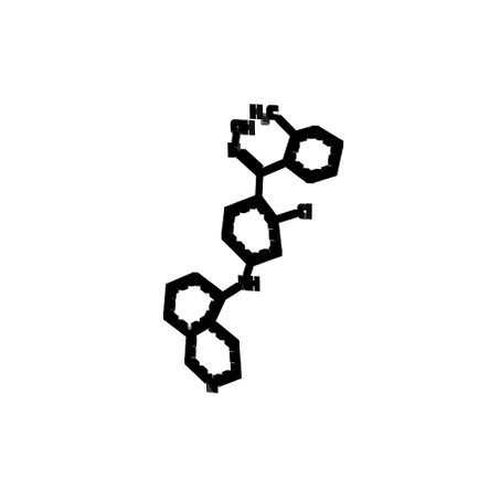 Cc1ccccc1C(=NO)c1ccc(Nc2cccc3cnccc23)cc1Cl